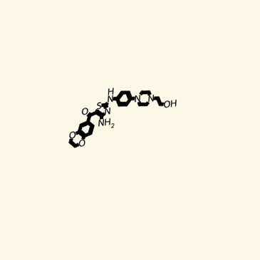 Nc1nc(Nc2ccc(N3CCN(CCO)CC3)cc2)sc1C(=O)c1ccc2c(c1)OCCO2